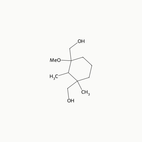 COC1(CO)CCCC(C)(CO)C1C